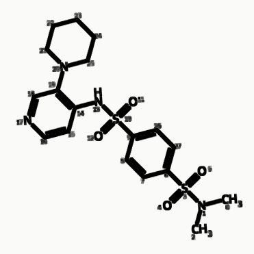 CN(C)S(=O)(=O)c1ccc(S(=O)(=O)Nc2ccncc2N2CCCCC2)cc1